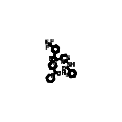 C[C@H](Nc1nccc(-c2c(-c3cccc(C(F)(F)F)c3)nc3ccc(C(=O)N4CCCCC4)cn23)n1)c1ccccc1